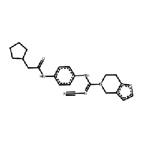 N#CN=C(Nc1ccc(NC(=O)CC2CCCC2)cc1)N1CCc2sccc2C1